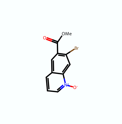 COC(=O)c1cc2ccc[n+]([O-])c2cc1Br